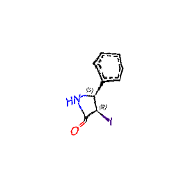 O=C1N[C@@H](c2ccccc2)[C@H]1I